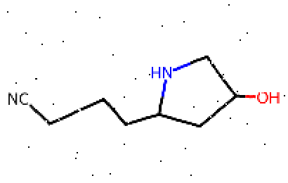 N#CCCCC1CC(O)CN1